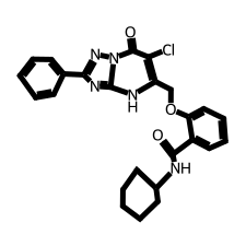 O=C(NC1CCCCC1)c1ccccc1OCc1[nH]c2nc(-c3ccccc3)nn2c(=O)c1Cl